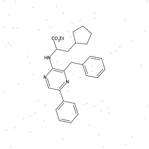 CCOC(=O)C(CC1CCCC1)Nc1ncc(-c2ccccc2)nc1Cc1ccccc1